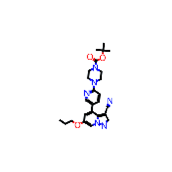 CCCOc1cc(-c2ccc(N3CCN(C(=O)OC(C)(C)C)CC3)nc2)c2c(C#N)cnn2c1